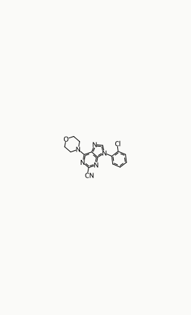 N#Cc1nc(N2CCOCC2)c2ncn(-c3ccccc3Cl)c2n1